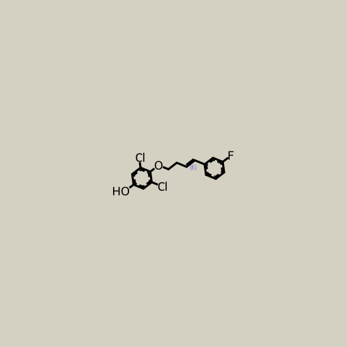 Oc1cc(Cl)c(OCC/C=C/c2cccc(F)c2)c(Cl)c1